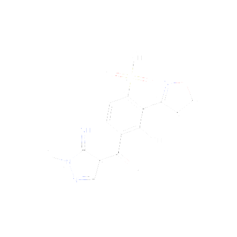 Cc1c(C(=O)C2C=NN(C)C2=N)ccc(S(C)(=O)=O)c1C1=NOCC1